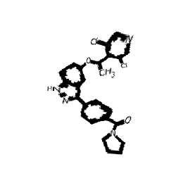 CC(Oc1ccc2[nH]nc(-c3ccc(C(=O)N4CCCC4)cc3)c2c1)c1c(Cl)cncc1Cl